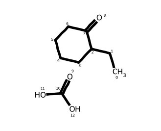 CCC1CCCCC1=O.O=C(O)O